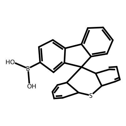 OB(O)c1ccc2c(c1)C1(c3ccccc3-2)C2C=CC=CC2SC2C=CC=CC21